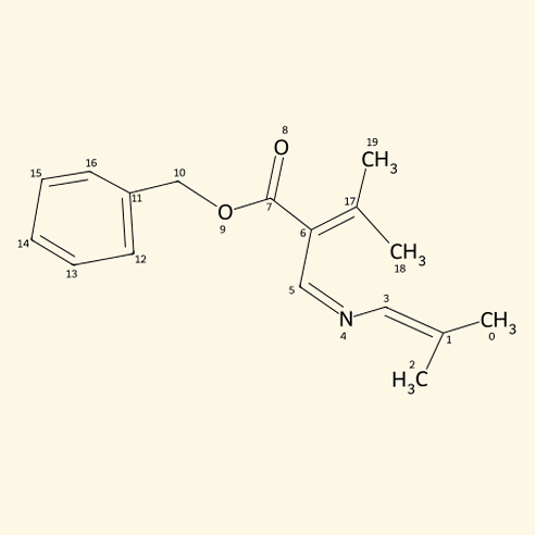 CC(C)=C/N=C\C(C(=O)OCc1ccccc1)=C(C)C